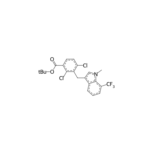 Cn1cc(Cc2c(Cl)ccc(C(=O)OC(C)(C)C)c2Cl)c2cccc(C(F)(F)F)c21